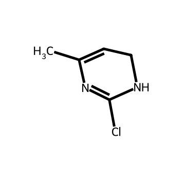 CC1=CCNC(Cl)=N1